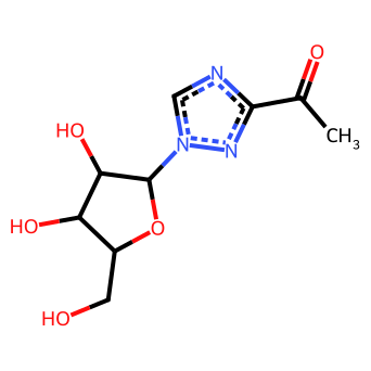 CC(=O)c1ncn(C2OC(CO)C(O)C2O)n1